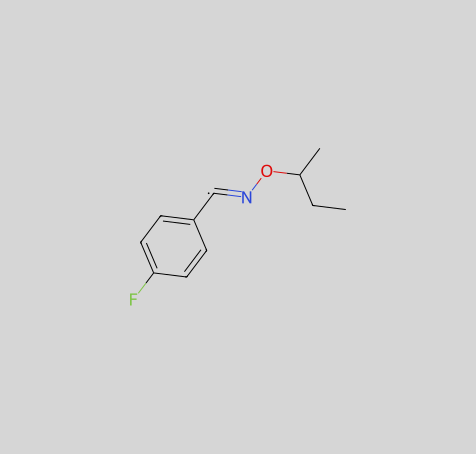 CCC(C)O/N=[C]/c1ccc(F)cc1